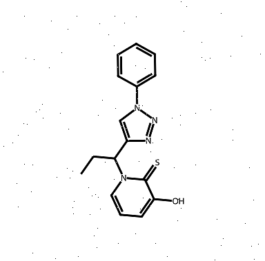 CCC(c1cn(-c2ccccc2)nn1)n1cccc(O)c1=S